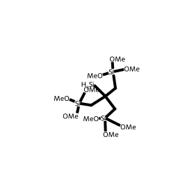 CO[Si](CC([SiH3])(C[Si](OC)(OC)OC)C[Si](OC)(OC)OC)(OC)OC